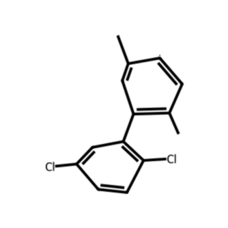 Cc1[c]cc(C)c(-c2cc(Cl)ccc2Cl)c1